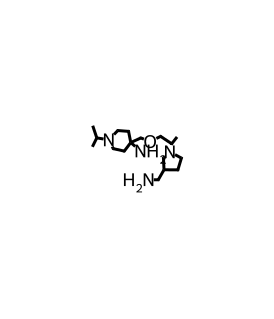 CC(C)N1CCC(N)(COCC(C)N2CCC(CN)C2)CC1